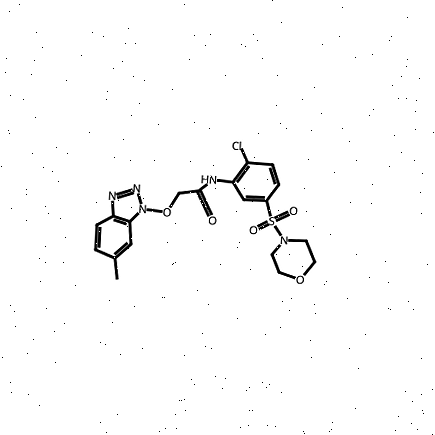 Cc1ccc2nnn(OCC(=O)Nc3cc(S(=O)(=O)N4CCOCC4)ccc3Cl)c2c1